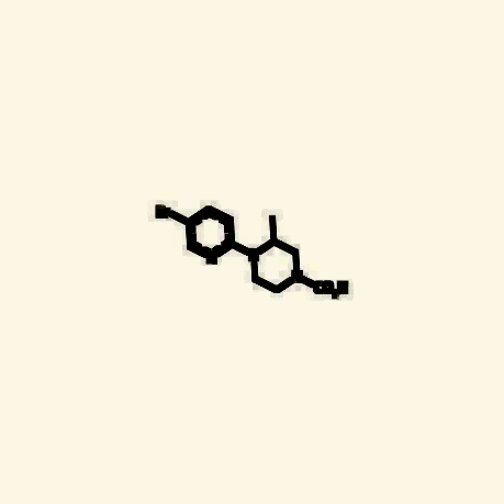 CC1CN(C(=O)O)CCN1c1ccc(Br)cn1